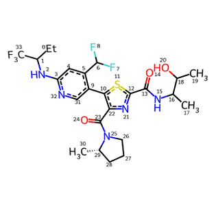 CCC(Nc1cc(C(F)F)c(-c2sc(C(=O)NC(C)C(C)O)nc2C(=O)N2CCC[C@@H]2C)cn1)C(F)(F)F